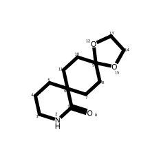 O=C1NCCCC12CCC1(CC2)OCCO1